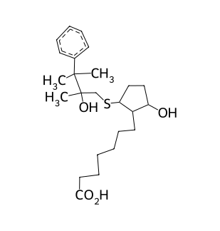 CC(O)(CSC1CCC(O)C1CCCCCCC(=O)O)C(C)(C)c1ccccc1